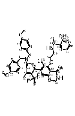 COc1ccc(CN(Cc2ccc(OC)cc2)c2cc(C)c(C(F)(F)F)c(-c3cc4nc[nH]c(=O)c4c(OCCN[C@@H](C)c4cccnc4N)c3Cl)n2)cc1